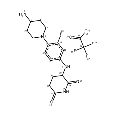 NC1CCN(c2ccc(NC3CCC(=O)NC3=O)cc2F)CC1.O=C(O)C(F)(F)F